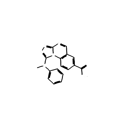 COC(=O)c1ccc2c(cnc3nnc(N(C)c4ccccc4)n32)c1